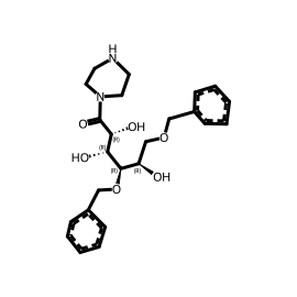 O=C([C@H](O)[C@@H](O)[C@H](OCc1ccccc1)[C@H](O)COCc1ccccc1)N1CCNCC1